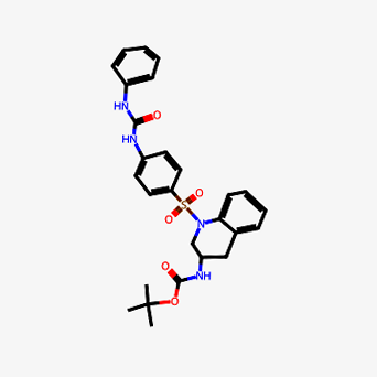 CC(C)(C)OC(=O)NC1Cc2ccccc2N(S(=O)(=O)c2ccc(NC(=O)Nc3ccccc3)cc2)C1